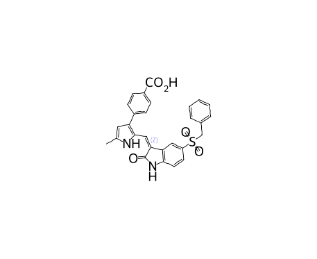 Cc1cc(-c2ccc(C(=O)O)cc2)c(/C=C2\C(=O)Nc3ccc(S(=O)(=O)Cc4ccccc4)cc32)[nH]1